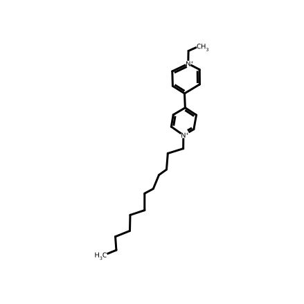 CCCCCCCCCCCC[n+]1ccc(-c2cc[n+](CC)cc2)cc1